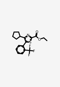 CCOC(=O)c1nc(C2CCCC2)c(-c2ccccc2C(F)(F)F)s1